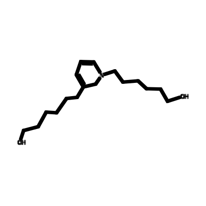 OCCCCCCC1=CC=CN(CCCCCCO)C1